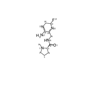 CN1CCC[C@@H]1C(=O)NCC1=NC(F)CN=C1N